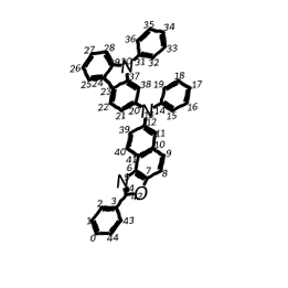 c1ccc(-c2nc3c(ccc4cc(N(c5ccccc5)c5ccc6c7ccccc7n(-c7ccccc7)c6c5)ccc43)o2)cc1